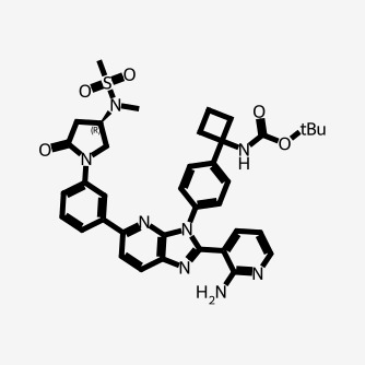 CN([C@@H]1CC(=O)N(c2cccc(-c3ccc4nc(-c5cccnc5N)n(-c5ccc(C6(NC(=O)OC(C)(C)C)CCC6)cc5)c4n3)c2)C1)S(C)(=O)=O